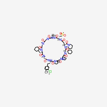 CC[C@H](C)[C@@H]1NC(=O)[C@H](CCS(C)(=O)=O)N(C)C(=O)C[C@@H](C(=O)N2CCCCC2)N(C)C(=O)[C@H](C2CCCCC2)N(C)C(=O)C2(CCCC2)NC(=O)[C@@H]2CCCN2C(=O)[C@H](CCc2ccc(C(F)(F)F)c(Cl)c2)NC(=O)CN(C)C(=O)[C@H](CC2CCCCC2)N(C)C(=O)CN(C)C(=O)CN(C)C1=O